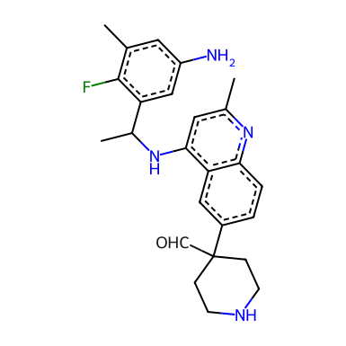 Cc1cc(NC(C)c2cc(N)cc(C)c2F)c2cc(C3(C=O)CCNCC3)ccc2n1